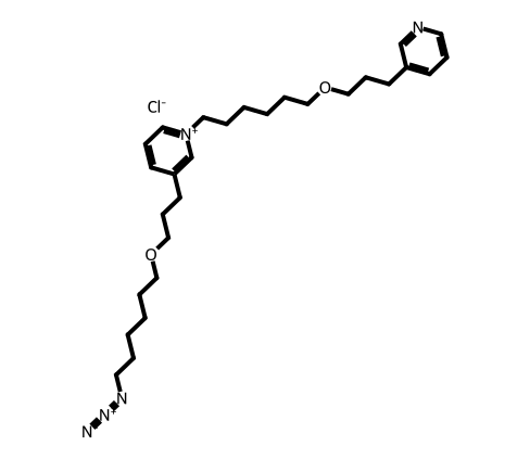 [Cl-].[N-]=[N+]=NCCCCCCOCCCc1ccc[n+](CCCCCCOCCCc2cccnc2)c1